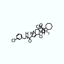 CN1C(=O)c2cc(C(=O)NCc3cccc(Cl)c3)nn2CC1(C)C(=O)NC1CCCCCC1